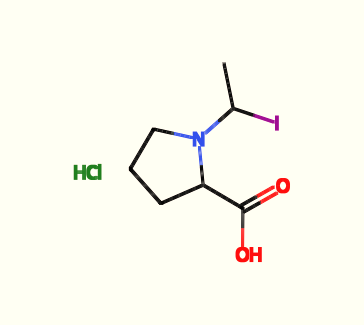 CC(I)N1CCCC1C(=O)O.Cl